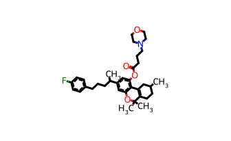 CC1CCC2=C(C1)c1c(OC(=O)CCCN3CCOCC3)cc(C(C)CCCc3ccc(F)cc3)cc1OC2(C)C